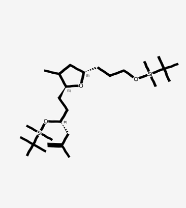 C=C(C)C[C@@H](CC[C@@H]1O[C@@H](CCCO[Si](C)(C)C(C)(C)C)CC1C)O[Si](C)(C)C(C)(C)C